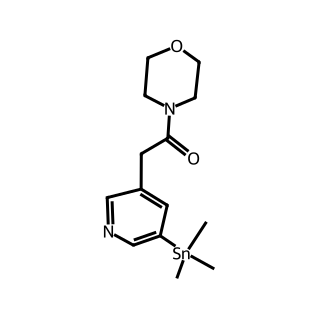 [CH3][Sn]([CH3])([CH3])[c]1cncc(CC(=O)N2CCOCC2)c1